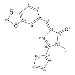 CN1C(=O)C(=Cc2ccc3c(c2)OCO3)N=C1c1cccs1